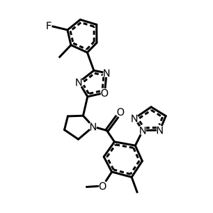 COc1cc(C(=O)N2CCCC2c2nc(-c3cccc(F)c3C)no2)c(-n2nccn2)cc1C